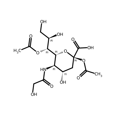 CC(=O)O[C@@H]([C@@H]1O[C@](OC(C)=O)(C(=O)O)C[C@H](O)[C@H]1NC(=O)CO)[C@H](O)CO